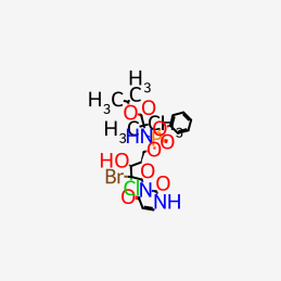 CC(C)OC(=O)C(C)(C)N[P@@](=O)(OC[C@H]1O[C@@H](n2c(=O)cc[nH]c2=O)[C@](Cl)(Br)[C@@H]1O)Oc1ccccc1